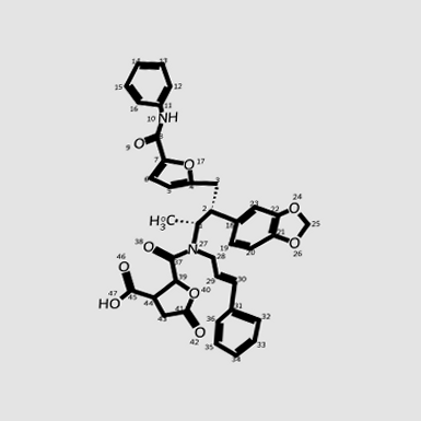 C[C@H]([C@H](Cc1ccc(C(=O)Nc2ccccc2)o1)c1ccc2c(c1)OCO2)N(CC=Cc1ccccc1)C(=O)C1OC(=O)CC1C(=O)O